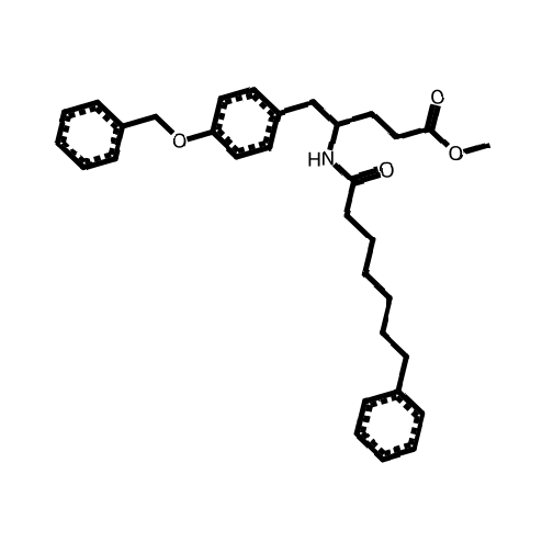 COC(=O)CCC(Cc1ccc(OCc2ccccc2)cc1)NC(=O)CCCCCCc1ccccc1